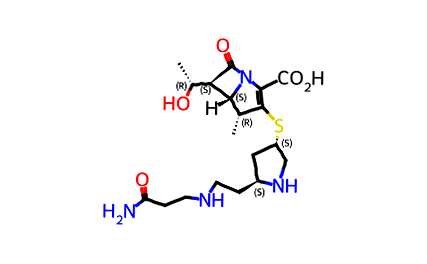 C[C@@H](O)[C@H]1C(=O)N2C(C(=O)O)=C(S[C@@H]3CN[C@@H](CCNCCC(N)=O)C3)[C@H](C)[C@H]12